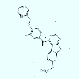 CCOC(=O)Cc1ccc2c(c1)sc1ncnc(Nc3ccc(OCc4ccccn4)c(C)c3)c12